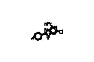 CCCc1nc(Cl)cc2c1nc(C1CCN(C)CC1)n2C